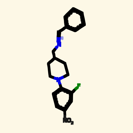 O=[N+]([O-])c1ccc(N2CCC(C/N=C/c3ccccc3)CC2)c(F)c1